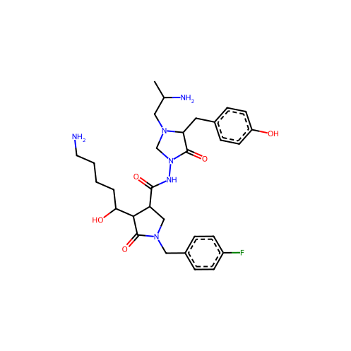 CC(N)CN1CN(NC(=O)C2CN(Cc3ccc(F)cc3)C(=O)C2C(O)CCCCN)C(=O)C1Cc1ccc(O)cc1